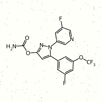 NC(=O)Oc1cc(-c2cc(F)cc(OC(F)(F)F)c2)n(-c2cncc(F)c2)n1